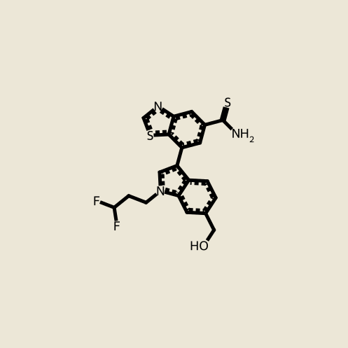 NC(=S)c1cc(-c2cn(CCC(F)F)c3cc(CO)ccc23)c2scnc2c1